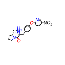 N#CC1CCCN1C(=O)[C@@H](N)Cc1ccc(Oc2ccc([N+](=O)[O-])cn2)cc1